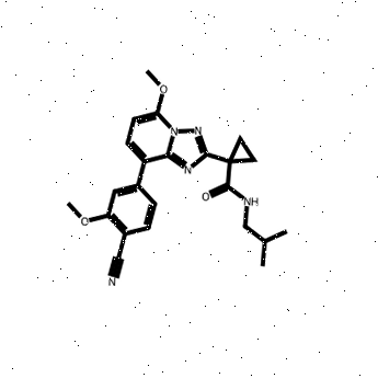 COc1cc(-c2ccc(OC)n3nc(C4(C(=O)NCC(C)C)CC4)nc23)ccc1C#N